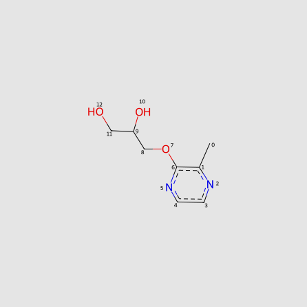 Cc1nccnc1OCC(O)CO